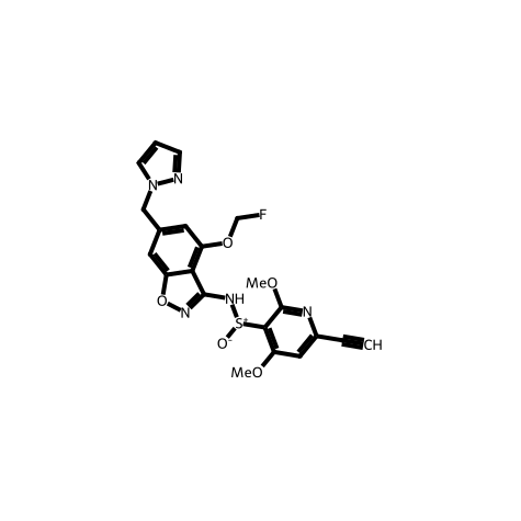 C#Cc1cc(OC)c([S+]([O-])Nc2noc3cc(Cn4cccn4)cc(OCF)c23)c(OC)n1